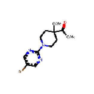 COC(=O)C1(OC)CCN(c2ncc(Br)cn2)CC1